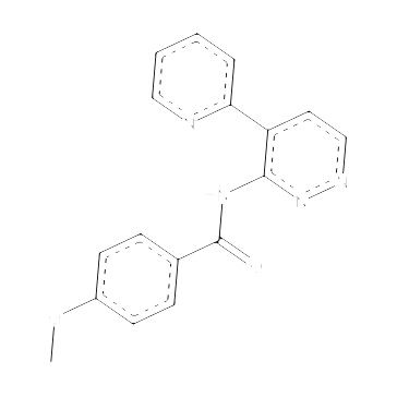 COc1ccc(C(=O)Nc2nnccc2-c2ccccn2)cc1